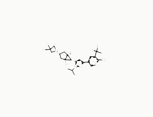 CC(C)n1nc(-c2cnc(N)c(C(F)(F)F)c2)cc1[C@H]1[C@@H]2C[C@H](N3CC(F)(F)C3)C[C@@H]21